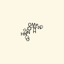 COc1cc2c(cc1CNCCN1CCCC1)N=C(NC1CCOCC1)C21CCC1